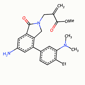 C=C(CN1Cc2c(cc(N)cc2-c2ccc(CC)c(N(C)C)c2)C1=O)C(=O)OC